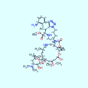 CC[C@H]1OC(=O)[C@H](C)C(=O)[C@H](C)[C@@H](O[C@@H]2OC(C)CC(N(C)C)C2O)[C@](C)(OC)C[C@@H](C)CN[C@H](CCN[C@H](CC(C)=O)C(=O)OC(C)(C)C)[C@H]2N(CCCCn3cc(-c4cccc(N)c4)nn3)C(=O)O[C@]12C